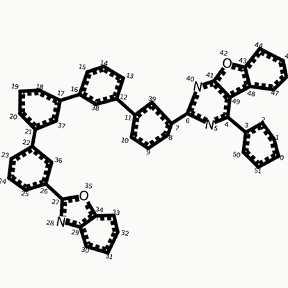 c1ccc(-c2nc(-c3cccc(-c4cccc(-c5cccc(-c6cccc(-c7nc8ccccc8o7)c6)c5)c4)c3)nc3oc4ccccc4c23)cc1